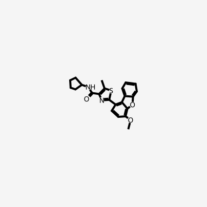 COc1ccc(-c2nc(C(=O)NC3CCCC3)c(C)s2)c2c1oc1ccccc12